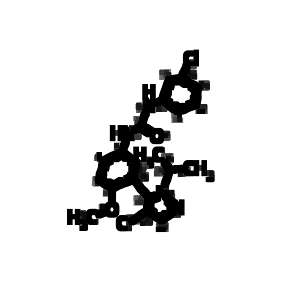 COc1ccc(NC(=O)Nc2cccc(Cl)c2)cc1-c1c(Cl)cnn1C(C)C